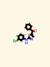 O=C(c1ccccc1)c1cnc(Nc2cccc(Br)c2)s1